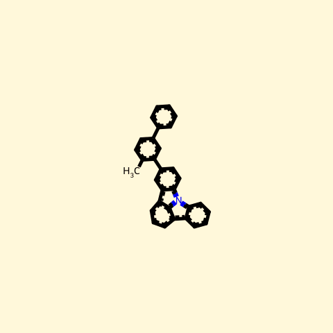 Cc1ccc(-c2ccccc2)cc1-c1ccc2c(c1)c1cccc3c4ccccc4n2c31